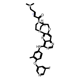 Cc1cc(Nc2ncnc3cc4c(nc23)N2CCN(C(=O)/C=C/CN(C)C)[C@H](CO4)C2)ccc1Oc1cncc(F)c1